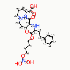 O=C(OCCCCON(O)O)C(CCc1ccccc1)NC1CCCN2CCCC(C(=O)O)N2C1=O